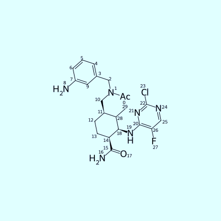 CC(=O)N(Cc1cccc(N)c1)C[C@@H]1CC[C@H](C(N)=O)[C@H](Nc2nc(Cl)ncc2F)C1C